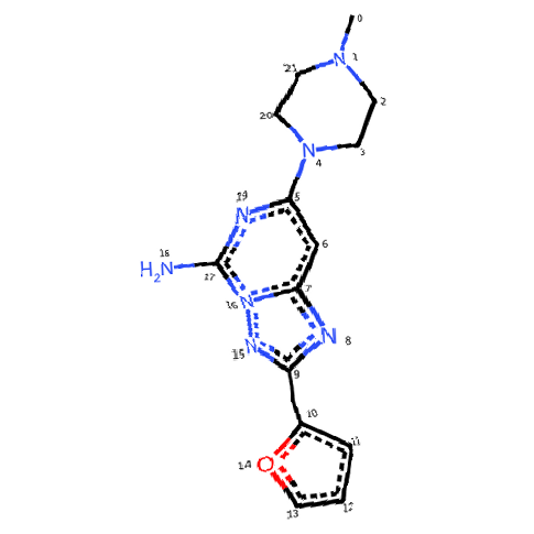 CN1CCN(c2cc3nc(-c4ccco4)nn3c(N)n2)CC1